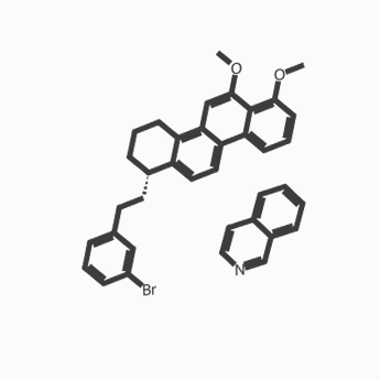 COc1cccc2c1c(OC)cc1c3c(ccc12)[C@H](CCc1cccc(Br)c1)CCC3.c1ccc2cnccc2c1